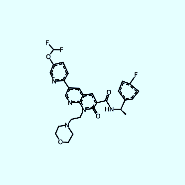 C[C@@H](NC(=O)c1cc2cc(-c3ccc(OC(F)F)cn3)cnc2n(CCN2CCOCC2)c1=O)c1ccc(F)cc1